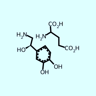 NC(CCC(=O)O)C(=O)O.NC[C@H](O)c1ccc(O)c(O)c1